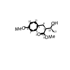 COC(=O)[C@@H](Cc1ccc(OC)cc1)[C@H](C)O